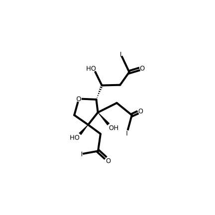 O=C(I)CC(O)[C@H]1OC[C@@](O)(CC(=O)I)[C@@]1(O)CC(=O)I